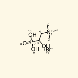 C[N+](C)(C)CC(O)P(=O)(O)O.[Br-]